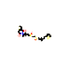 CC(N1C(=O)C=C2SCCC2C1=O)C(C)(C)CC[S+]([O-])CC[S+]([O-])CCC(C)(C)CCC1=CCCS1